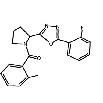 Cc1ccccc1C(=O)N1CCCC1c1nnc(-c2ccccc2F)o1